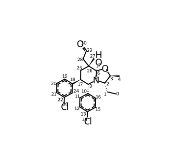 CC[C@H]1[C@H](C)O[C@@]2(O)N1[C@H](c1ccc(Cl)cc1)[C@@H](c1cccc(Cl)c1)C[C@]2(C)CC=O